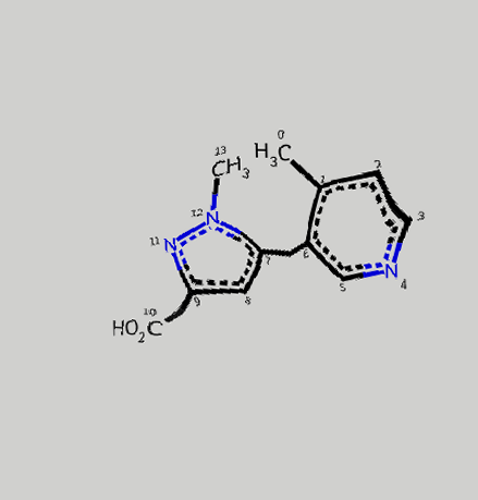 Cc1ccncc1-c1cc(C(=O)O)nn1C